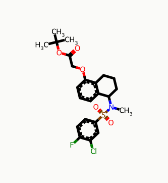 CN(C1CCCc2c(OCC(=O)OC(C)(C)C)cccc21)S(=O)(=O)c1ccc(F)c(Cl)c1